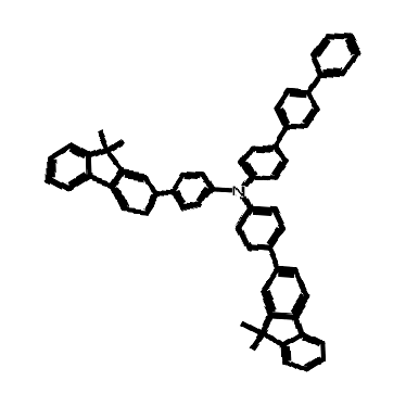 CC1(C)c2ccccc2-c2ccc(C3=CC=C(N(c4ccc(-c5ccc(-c6ccccc6)cc5)cc4)c4ccc(-c5ccc6c(c5)C(C)(C)c5ccccc5-6)cc4)CC3)cc21